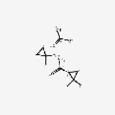 CC1(C)CC1.CC1(C)C[C@@H]1C(N)=O.O=C(O)O